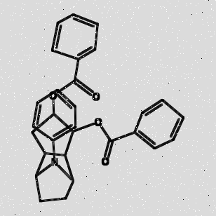 O=C(OC1CC2C(C1OC(=O)c1ccccc1)C1CCC2N1c1ccccc1)c1ccccc1